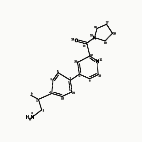 CC(CN)c1ccc(-c2ccnc(C(=O)N3CCCC3)c2)cc1